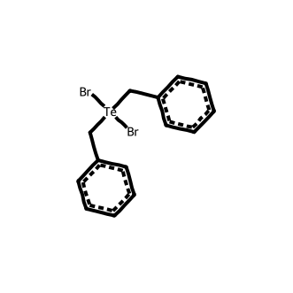 Br[Te](Br)(Cc1ccccc1)Cc1ccccc1